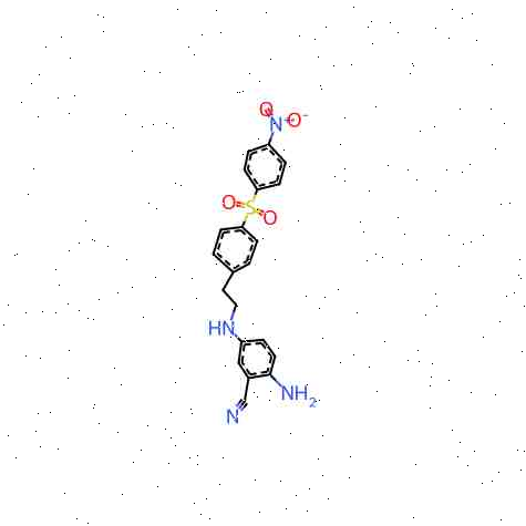 N#Cc1cc(NCCc2ccc(S(=O)(=O)c3ccc([N+](=O)[O-])cc3)cc2)ccc1N